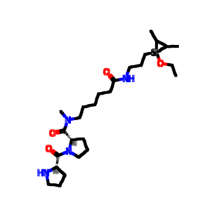 CCO[Si]1(CCCNC(=O)CCCCCN(C)C(=O)[C@@H]2CCCN2C(=O)[C@@H]2CCCN2)C(C)C1C